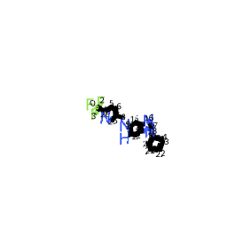 FC(F)(F)c1ccc(CNc2ccc3c(c2)ncn3-c2ccccc2)cn1